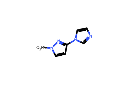 O=[N+]([O-])n1ccc(-n2ccnc2)n1